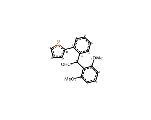 COc1cccc(OC)c1C(C=O)c1ccccc1-c1cccs1